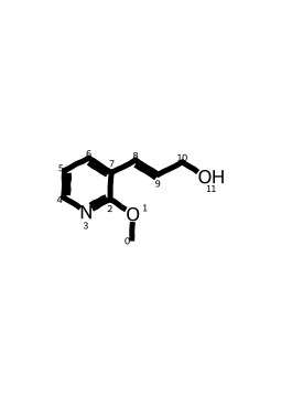 COc1ncccc1/C=C/CO